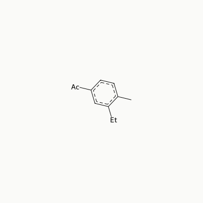 CCc1cc(C(C)=O)ccc1C